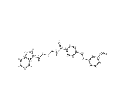 COc1cccc(COc2ccc(C(=O)NCCCNc3nsc4ccccc34)cc2)c1